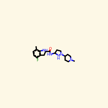 Cc1ccc(F)c2c1NC(C(=O)NC1CCN(C3CCN(C)CC3)N1)C2